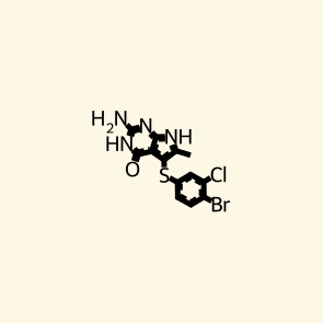 Cc1[nH]c2nc(N)[nH]c(=O)c2c1Sc1ccc(Br)c(Cl)c1